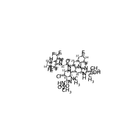 Cn1nc(NS(C)(=O)=O)c2c(Cl)ccc(-c3cc4[nH]c(C(C)(C)O)nc4nc3[C@H](Cc3cc(F)cc(F)c3)NC(=O)Cn3nc(C(F)F)c4c3C(F)(F)[C@@H]3CC[C@H]43)c21